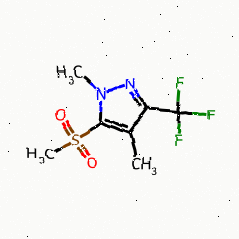 Cc1c(C(F)(F)F)nn(C)c1S(C)(=O)=O